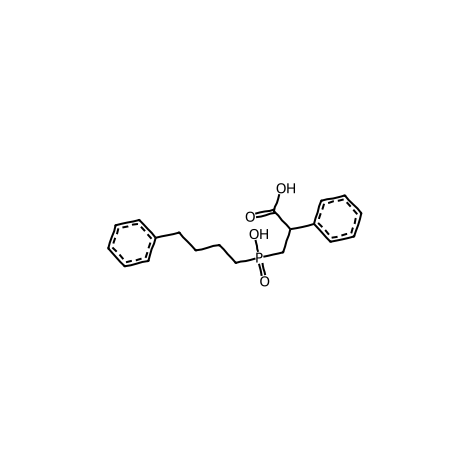 O=C(O)C(CP(=O)(O)CCCCc1ccccc1)c1ccccc1